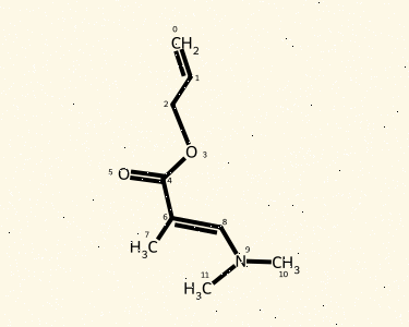 C=CCOC(=O)C(C)=CN(C)C